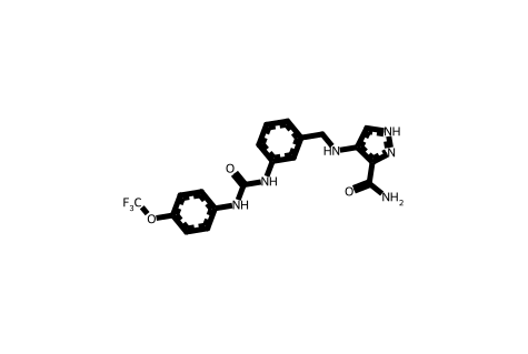 NC(=O)c1n[nH]cc1NCc1cccc(NC(=O)Nc2ccc(OC(F)(F)F)cc2)c1